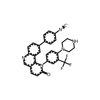 [C-]#[N+]c1ccc(-c2ccc3ncc4ccc(=O)n(-c5ccc(N6CCNCC6)c(C(F)(F)F)c5)c4c3c2)cc1